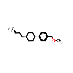 C=CCC[C@H]1CC[C@H](c2ccc(COC)cc2)CC1